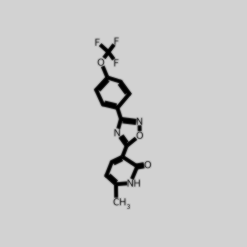 Cc1ccc(-c2nc(-c3ccc(OC(F)(F)F)cc3)no2)c(=O)[nH]1